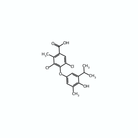 Cc1cc(Oc2c(Cl)cc(C(=O)O)c(C)c2Cl)cc(C(C)C)c1O